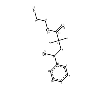 CC(C)(CC(Br)c1ccccc1)C(=O)OCCF